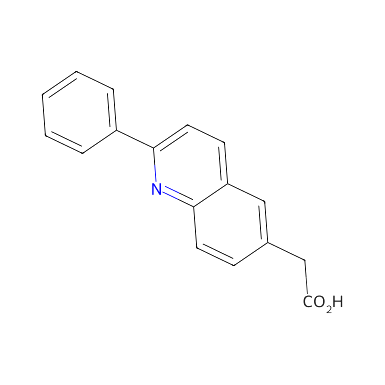 O=C(O)Cc1ccc2nc(-c3ccccc3)ccc2c1